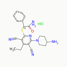 CCc1c(C#N)c(S[C@H](C(N)=O)c2ccccc2)nc(N2CCC(N)CC2)c1C#N.Cl